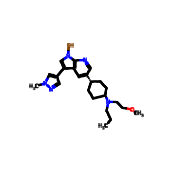 CCCN(CCOC)[C@H]1CC[C@H](c2cnc3c(c2)c(-c2cnn(C)c2)cn3S)CC1